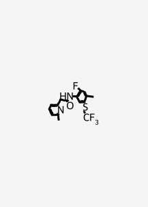 Cc1cccc(CC(=O)Nc2cc(SCC(F)(F)F)c(C)cc2F)n1